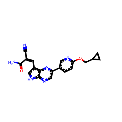 N#CC(=Cc1c[nH]c2ncc(-c3ccc(OCC4CC4)nc3)nc12)C(N)=O